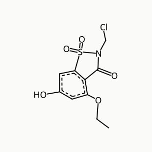 CCOc1cc(O)cc2c1C(=O)N(CCl)S2(=O)=O